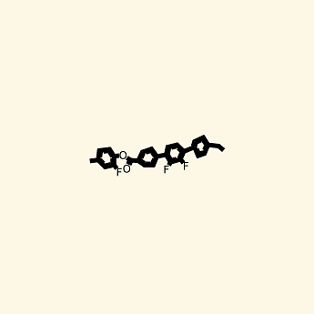 CCc1ccc(-c2ccc(-c3ccc(C(=O)Oc4ccc(C)cc4F)cc3)c(F)c2F)cc1